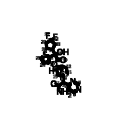 NC(=O)C(c1ccncn1)[N+]12CCC(CC1)[C@@H](OC(=O)C(O)(c1cccs1)C1CCC(F)(F)C1)C2